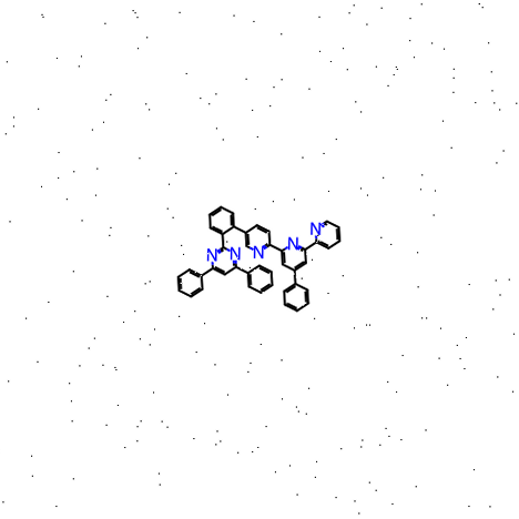 c1ccc(-c2cc(-c3ccccn3)nc(-c3ccc(-c4ccccc4-c4nc(-c5ccccc5)cc(-c5ccccc5)n4)cn3)c2)cc1